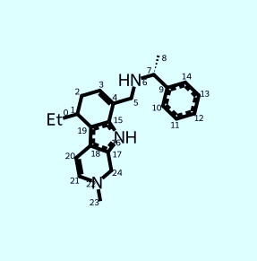 CCC1CC=C(CN[C@H](C)c2ccccc2)c2[nH]c3c(c21)C=CN(C)C3